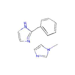 Cn1ccnc1.c1ccc(-c2ncc[nH]2)cc1